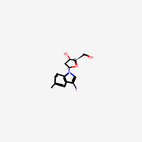 Cc1ccc2c(c1)c(I)cn2[C@H]1C[C@@H](O)[C@@H](CO)O1